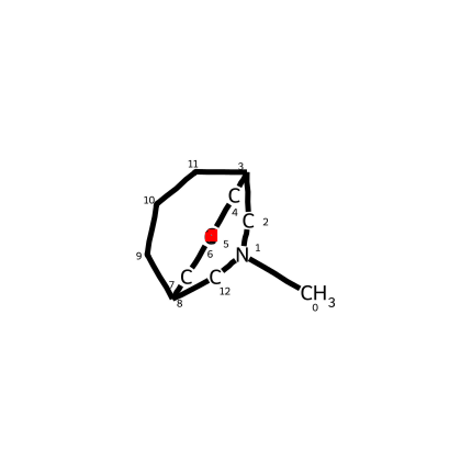 CN1CC2CCCCC(CCC2)C1